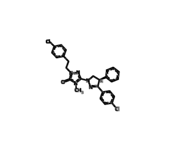 Cn1c(N2C[C@@H](c3ccccc3)C(c3ccc(Cl)cc3)=N2)nn(CCc2ccc(Cl)cc2)c1=O